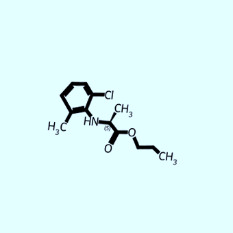 CCCOC(=O)[C@H](C)Nc1c(C)cccc1Cl